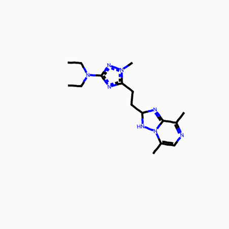 CCN(CC)c1nc(CCC2N=C3C(C)=NC=C(C)N3N2)n(C)n1